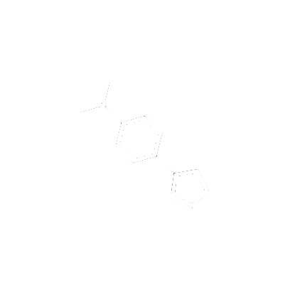 CN(C)c1ccc(-c2cccs2)cc1